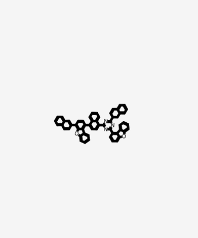 C1=CC(c2nc(-c3ccc(-c4ccc(-c5ccc6ccccc6c5)c5oc6ccccc6c45)c4ccccc34)nc(-c3cccc4oc5ccccc5c34)n2)Cc2ccccc21